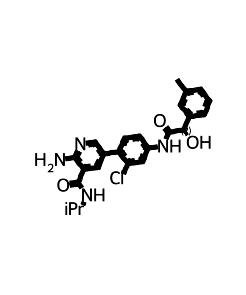 Cc1cccc([C@@H](O)C(=O)Nc2ccc(-c3cnc(N)c(C(=O)NC(C)C)c3)c(Cl)c2)c1